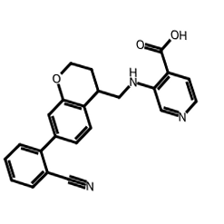 N#Cc1ccccc1-c1ccc2c(c1)OCCC2CNc1cnccc1C(=O)O